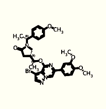 COc1ccc([C@@H](C)N2C[C@H]([C@@H](C)Oc3nc(-c4ccc(OC)c(OC)c4)cn4ncc(Br)c34)CC2=O)cc1